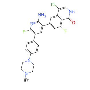 CC(C)N1CCN(c2ccc(-c3cc(-c4cc(F)c5c(=O)[nH]cc(Cl)c5c4)c(N)nc3F)cc2)CC1